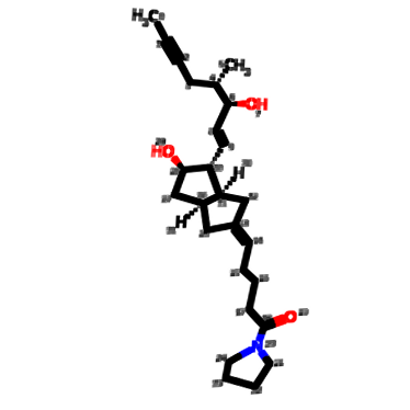 CC#CC[C@H](C)[C@@H](O)/C=C/[C@@H]1[C@H]2CC(=CCCCC(=O)N3CCCC3)C[C@H]2C[C@H]1O